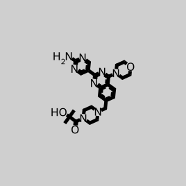 CC(C)(O)C(=O)N1CCN(Cc2ccc3c(N4CCOCC4)nc(-c4cnc(N)nc4)nc3c2)CC1